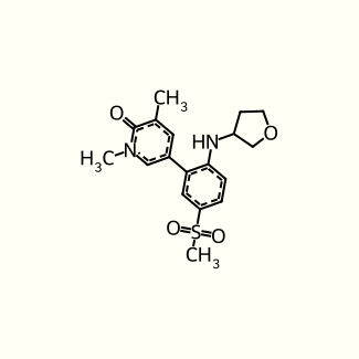 Cc1cc(-c2cc(S(C)(=O)=O)ccc2NC2CCOC2)cn(C)c1=O